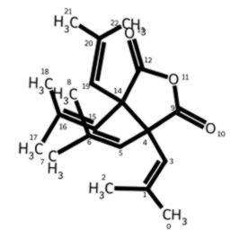 CC(C)=CC1(C=C(C)C)C(=O)OC(=O)C1(C=C(C)C)C=C(C)C